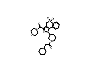 O=C(CC1CCCCC1)N1CCCC(n2nc(C(=O)N3CCOCC3)c3c2-c2ccccc2S(=O)(=O)C3)C1